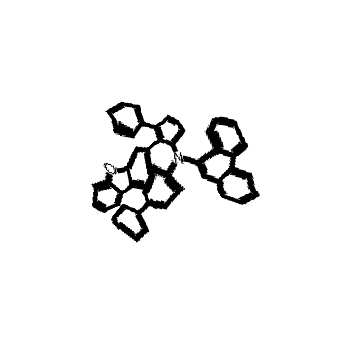 c1ccc(-c2ccc(N(c3cccc(-c4ccccc4)c3-c3ccc4c(c3)oc3ccccc34)c3cc4ccccc4c4ccccc34)cc2)cc1